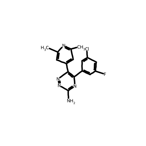 Cc1cc(-c2nnc(N)nc2-c2cc(F)cc(Cl)c2)cc(C)n1